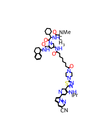 CNC(C)C(=O)NC(C(=O)N1C[C@@H](NC(=O)CCCCCCC(=O)N2CCN(c3nnc(-c4cnc(-c5ccc6cc(C#N)cnn56)cc4NC(C)C)s3)CC2)C[C@H]1C(=O)N[C@@H]1CCCc2ccccc21)C1CCCCC1